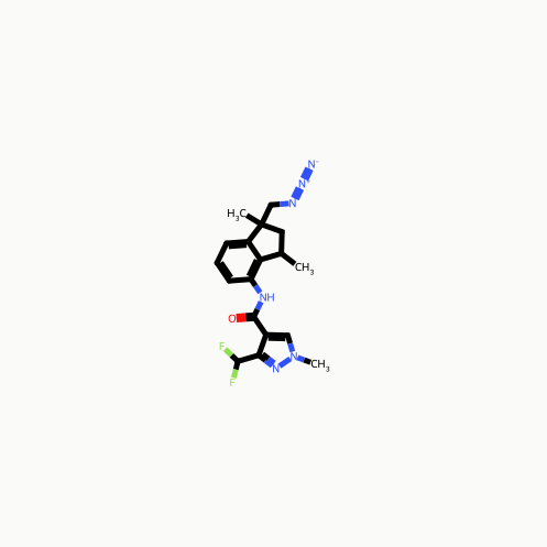 CC1CC(C)(CN=[N+]=[N-])c2cccc(NC(=O)c3cn(C)nc3C(F)F)c21